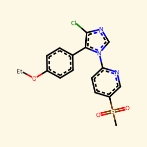 CCOc1ccc(-c2c(Cl)ncn2-c2ccc(S(C)(=O)=O)cn2)cc1